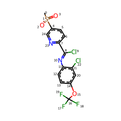 CS(=O)(=O)c1ccc(C(Cl)=Nc2ccc(OC(F)(F)F)cc2Cl)nc1